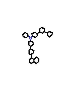 c1ccc(-c2cccc(-c3ccc(N(c4ccccc4)c4ccc(-c5ccc(-c6cccc7ccccc67)cc5)cc4)cc3)c2)cc1